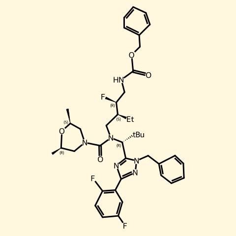 CC[C@@H](CN(C(=O)N1C[C@@H](C)O[C@@H](C)C1)[C@@H](c1nc(-c2cc(F)ccc2F)nn1Cc1ccccc1)C(C)(C)C)[C@@H](F)CNC(=O)OCc1ccccc1